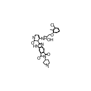 Cc1c(Cl)cccc1OC[C@H](O)CNC1=CC=NC(=O)C1c1nc2cc3c(cc2[nH]1)C(=O)N(C1CCN(C)CC1)C3=O